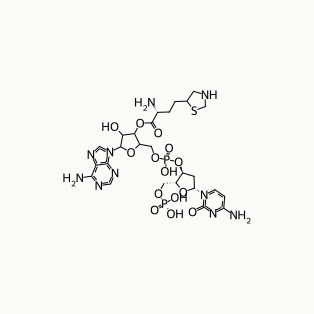 Nc1ccn([C@H]2C[C@H](OP(=O)(O)OCC3OC(n4cnc5c(N)ncnc54)C(O)C3OC(=O)[C@H](N)CCC3CNCS3)[C@@H](COP(=O)(O)O)O2)c(=O)n1